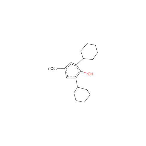 CCCCCCCCc1cc(C2CCCCC2)c(O)c(C2CCCCC2)c1